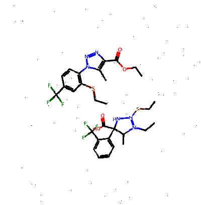 CCOC(=O)c1nnn(-c2ccc(C(F)(F)F)cc2SCC)c1C.CCSN1NC(C(=O)O)(c2ccccc2C(F)(F)F)C(C)N1CC